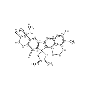 C=CCC1(CC=C)c2c(nc3cc(F)c(C)c4c3c2CCC4)-c2cc3c(c(=O)n21)COC(=O)[C@]3(O)CC